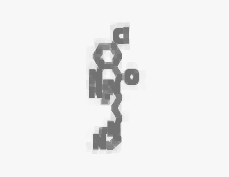 Nc1ccc(Cl)cc1C(=O)NCCCn1ccnc1